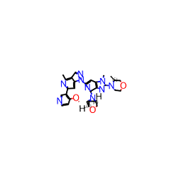 COc1ccncc1-c1cc2c(cnn2-c2cc3c(nc(N4CCOC[C@@H]4C)n3C)c(N3C[C@H]4C[C@@H]3CO4)n2)c(C)n1